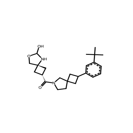 CC(C)(C)c1cccc(C2CC3(CCN(C(=O)[C@H]4C[C@]5(COC(O)N5)C4)C3)C2)c1